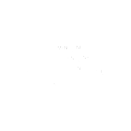 C=CCN(C(=N)NC(=N)NC)c1ccc(Oc2ccc(Cl)cc2)cc1